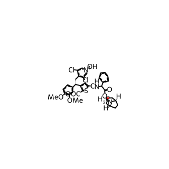 COc1ccc([C@H](Cc2c(Cl)c[n+](O)cc2Cl)c2cc(CNC(C(=O)OC3C[C@H]4CC[C@H](C3)N4C)c3ccccc3)sc2C(=O)[O-])cc1OC